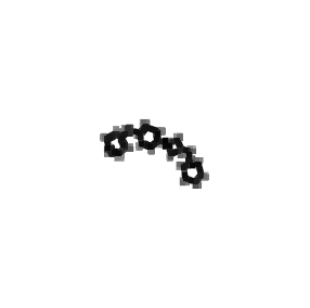 c1cc(Sc2ccc(N3CC(CN4CCCCC4)C3)cc2)ccn1